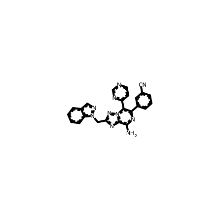 N#Cc1cccc(-c2nc(N)c3nc(Cn4ncc5ccccc54)nn3c2-c2ccncn2)c1